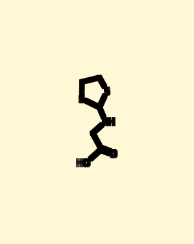 O=C(O)CNC1SCCS1